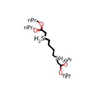 CCCOC(C[SiH2]CCCC[SiH2]CC(OCCC)OCCC)OCCC